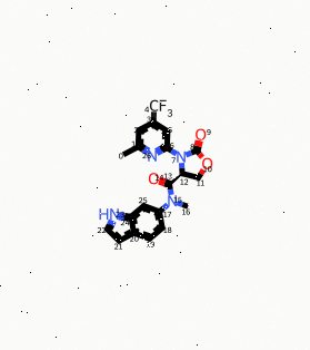 Cc1cc(C(F)(F)F)cc(N2C(=O)OC[C@H]2C(=O)N(C)c2ccc3cc[nH]c3c2)n1